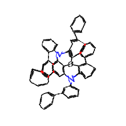 c1ccc(-c2cccc(N3c4cccc(-c5ccccc5)c4B4c5ccc(-c6ccccc6)cc5N(c5ccccc5-c5ccccc5)c5cc(-c6ccccc6)cc3c54)c2)cc1